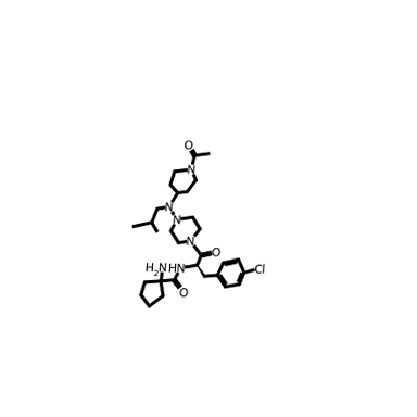 CC(=O)N1CCC(N(CC(C)C)N2CCN(C(=O)[C@@H](Cc3ccc(Cl)cc3)NC(=O)C3(N)CCCC3)CC2)CC1